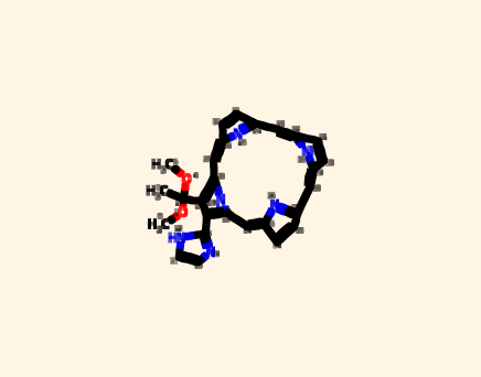 COC(C)(OC)c1c(-c2ncc[nH]2)c2cc3nc(cc4ccc(cc5nc(cc1[nH]2)C=C5)[nH]4)C=C3